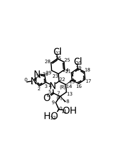 Cn1cc(N2C(=O)[C@@](C)(CC(O)O)C[C@H](c3cccc(Cl)c3)C2C2C=CC(Cl)=CC2)cn1